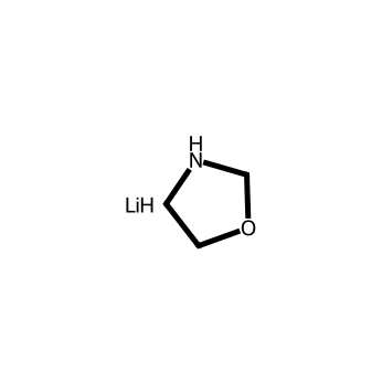 C1COCN1.[LiH]